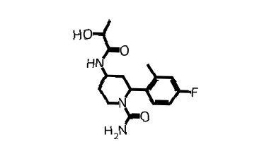 Cc1cc(F)ccc1C1CC(NC(=O)C(C)O)CCN1C(N)=O